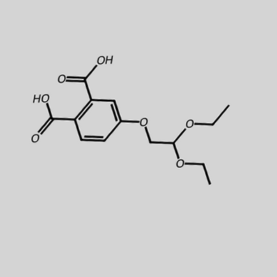 CCOC(COc1ccc(C(=O)O)c(C(=O)O)c1)OCC